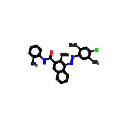 COc1cc(Cl)c([N+](=O)[O-])cc1N=Nc1c(OC)c(C(=O)Nc2ccccc2C)cc2ccccc12